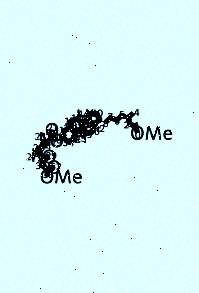 COCCC(C)CCCC[C@H]1CC[C@H]2[C@@H]3CC=C4C[C@@H](OC(=O)N(C)CCN(C)C(=O)CC(=O)OC)CC[C@]4(C)[C@H]3CC[C@]12C